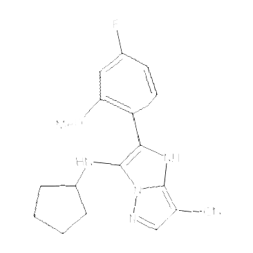 COc1cc(F)ccc1-c1[nH]c2c(C#N)cnn2c1NC1CCCC1